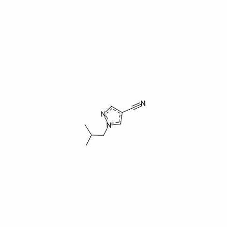 CC(C)Cn1cc(C#N)cn1